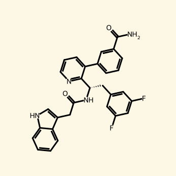 NC(=O)c1cccc(-c2cccnc2[C@H](Cc2cc(F)cc(F)c2)NC(=O)Cc2c[nH]c3ccccc23)c1